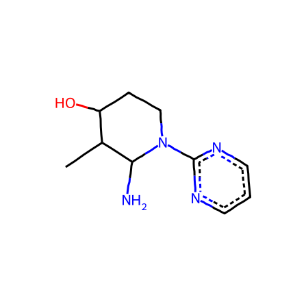 CC1C(O)CCN(c2ncccn2)C1N